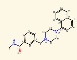 CNC(=O)c1cccc(CN2CCN(c3cccc4ccccc34)CC2)c1